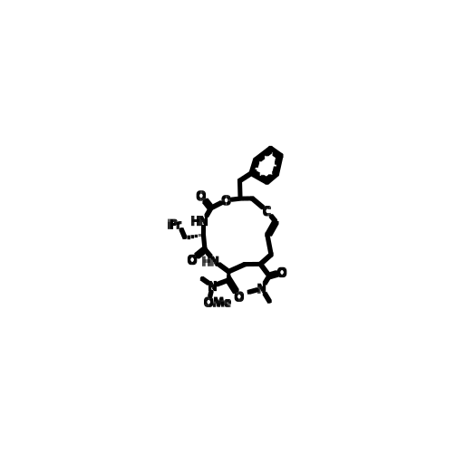 CON(C)C(=O)[C@@H]1CC(C(=O)N(C)C)C/C=C/CCC(Cc2ccccc2)OC(=O)N[C@@H](CC(C)C)C(=O)N1